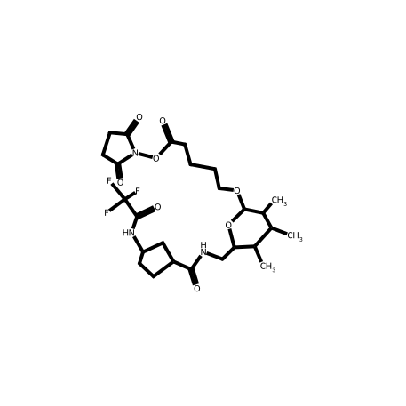 CC1C(CNC(=O)C2CCC(NC(=O)C(F)(F)F)C2)OC(OCCCCC(=O)ON2C(=O)CCC2=O)C(C)C1C